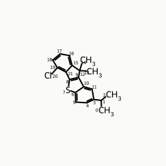 CC(C)c1ccc2sc3c(c2c1)C(C)(C)c1cccc(Cl)c1-3